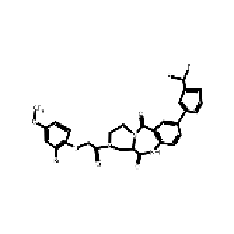 O=C1Nc2ccc(-c3cccc(C(F)F)c3)cc2C(=O)N2CCN(C(=O)COc3ccc(OC(F)(F)F)cc3Br)CC12